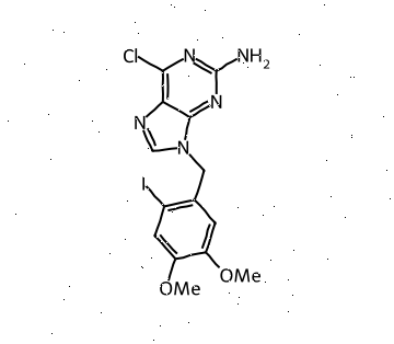 COc1cc(I)c(Cn2cnc3c(Cl)nc(N)nc32)cc1OC